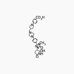 Cn1c(-c2ccc(N3CCN(CC4CCN(c5ccc(C(=O)O)cc5)CC4)CC3)cc2)nn(C2CCC(=O)NC2O)c1=O